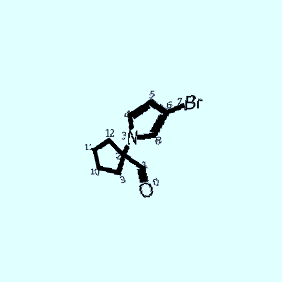 O=CC1(n2ccc(Br)c2)CCCC1